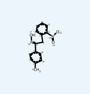 Cc1ccc(C(Cc2ccccc2[N+](=O)[O-])=NO)cc1